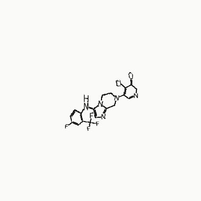 O=C1CN=CC(N2CCn3c(Nc4ccc(F)cc4C(F)(F)F)cnc3C2)=C1Cl